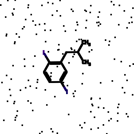 CC(C)Cc1cc(I)ccc1I